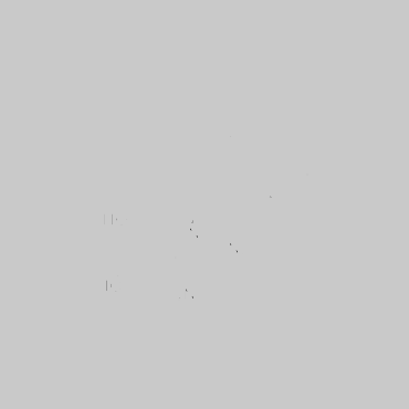 OC(O)c1ncn(Cc2ccccc2)n1